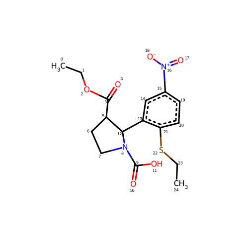 CCOC(=O)C1CCN(C(=O)O)C1c1cc([N+](=O)[O-])ccc1SCC